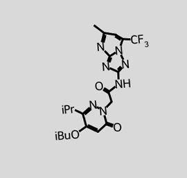 Cc1cc(C(F)(F)F)n2nc(NC(=O)Cn3nc(C(C)C)c(OCC(C)C)cc3=O)nc2n1